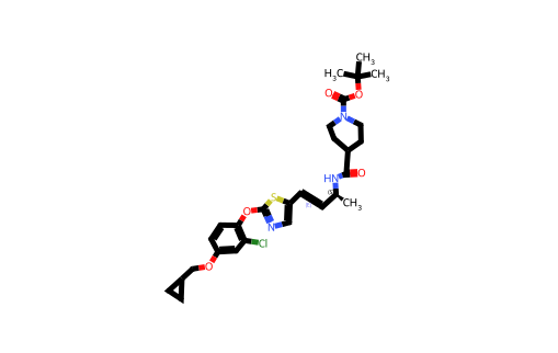 C[C@@H](/C=C/c1cnc(Oc2ccc(OCC3CC3)cc2Cl)s1)NC(=O)C1CCN(C(=O)OC(C)(C)C)CC1